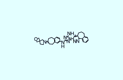 Nc1nc(Nc2ccc3c(c2)CC[C@@H](N2CCC4(COC4)C2)CC3)nn1-c1cc2c(nn1)-c1ccccc1CCC2